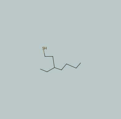 CCCCC(CC)CCS